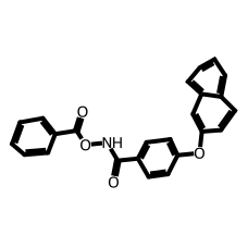 O=C(NOC(=O)c1ccccc1)c1ccc(Oc2ccc3ccccc3c2)cc1